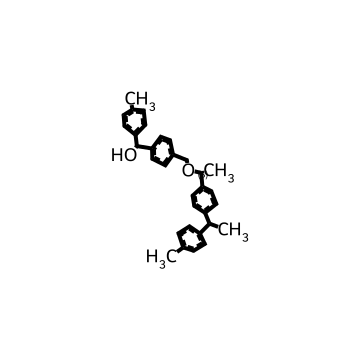 Cc1ccc(C(C)c2ccc([C@H](C)OCc3ccc(C(O)c4ccc(C)cc4)cc3)cc2)cc1